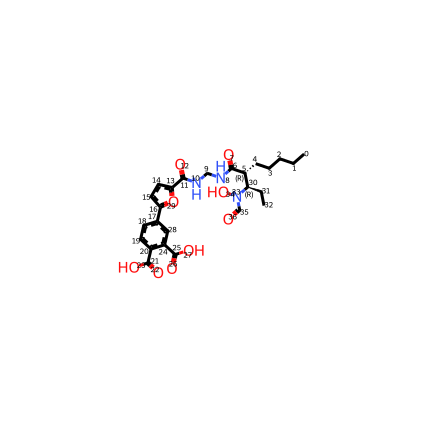 CCCCC[C@@H](C(=O)NCNC(=O)c1ccc(-c2ccc(C(=O)O)c(C(=O)O)c2)o1)[C@@H](CC)N(O)C=O